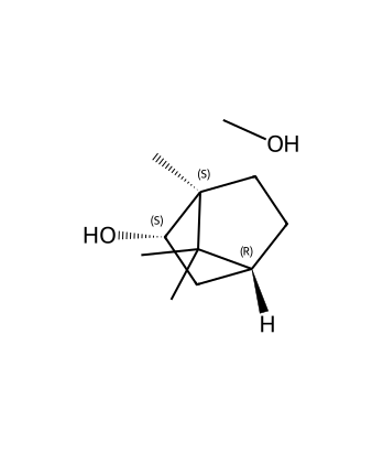 CC1(C)[C@@H]2CC[C@]1(C)[C@@H](O)C2.CO